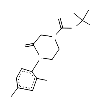 CC(C)(C)OC(=O)N1CCN(c2ccc(F)cc2F)C(=O)C1